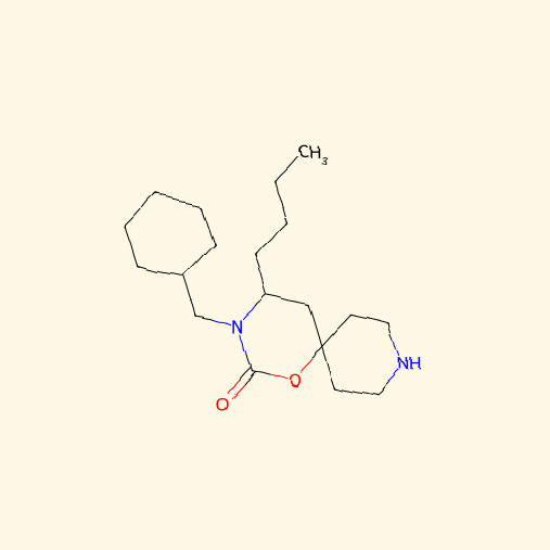 CCCCC1CC2(CCNCC2)OC(=O)N1CC1CCCCC1